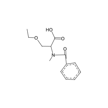 CCOCC(C(=O)O)N(C)C(=O)c1ccccc1